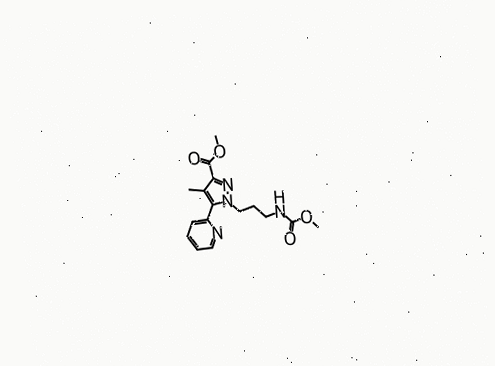 COC(=O)NCCCn1nc(C(=O)OC)c(C)c1-c1ccccn1